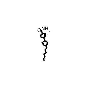 CCCCCCCc1ccc(-c2ccc(C(N)=O)cc2)cc1